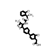 Cc1nsc(-c2ccc(-c3ccc(CC(=O)O)c(Cl)c3)cc2)c1NC(=O)O[C@H](C)c1ccccc1Cl